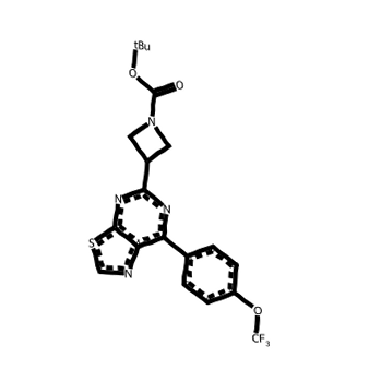 CC(C)(C)OC(=O)N1CC(c2nc(-c3ccc(OC(F)(F)F)cc3)c3ncsc3n2)C1